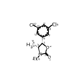 CCN1C(=O)O[C@@H](c2cc(Cl)cc(Cl)c2)[C@H]1C